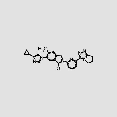 Cc1cc2c(cc1-n1cnc(C3CC3)c1)C(=O)N(c1cccc(-c3nnc4n3CCC4)n1)C2